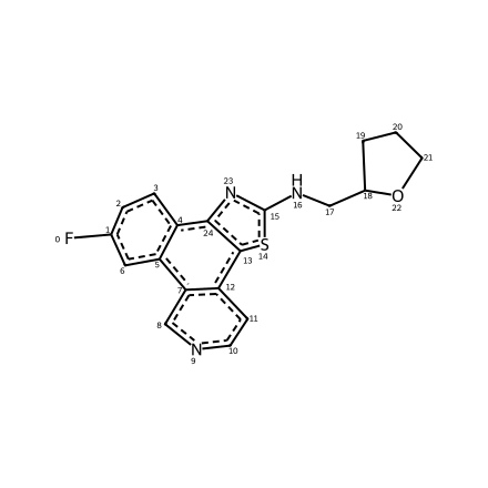 Fc1ccc2c(c1)c1cnccc1c1sc(NCC3CCCO3)nc21